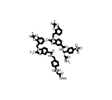 CCS(=O)(=O)c1ccc([C@H](CC(N)=O)NC(=O)c2ccc3c(c2)nc(C(F)(F)F)n3Cc2cccc3c2OC(F)(F)O3)cc1.CNC(=O)CS(=O)(=O)c1ccc(CNC(=O)c2ccc3c(c2)nc(C(F)(F)F)n3Cc2cccc3c2OC(F)(F)O3)cc1